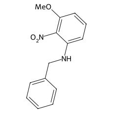 COc1cccc(NCc2ccccc2)c1[N+](=O)[O-]